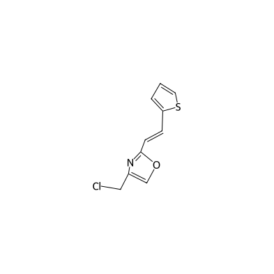 ClCc1coc(C=Cc2cccs2)n1